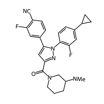 CNC1CCCN(C(=O)c2cc(-c3ccc(C#N)c(F)c3)n(-c3ccc(C4CC4)cc3F)n2)C1